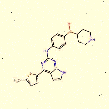 Cc1ccc(-c2nc(Nc3ccc([S+]([O-])C4CCNCC4)cc3)nc3[nH]ccc23)s1